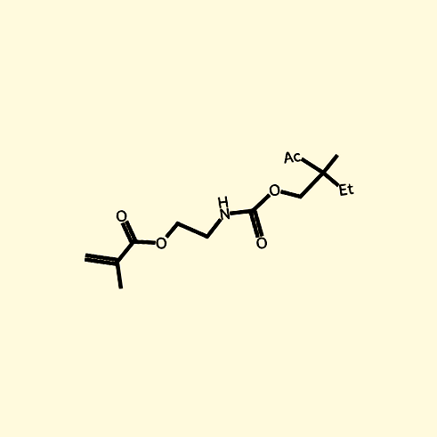 C=C(C)C(=O)OCCNC(=O)OCC(C)(CC)C(C)=O